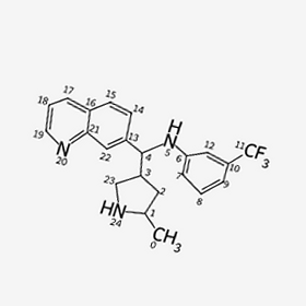 CC1CC(C(Nc2cccc(C(F)(F)F)c2)c2ccc3cccnc3c2)CN1